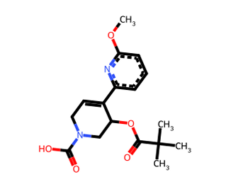 COc1cccc(C2=CCN(C(=O)O)CC2OC(=O)C(C)(C)C)n1